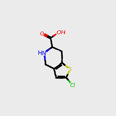 O=C(O)C1Cc2sc(Cl)cc2CN1